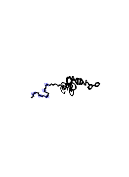 CC/C=C\C/C=C\C/C=C\C/C=C\C/C=C\CCCCCCC(=O)OCn1c(=O)oc2c(N3CCN(Cc4cccc(-c5ccccc5)c4)CC3)cccc21